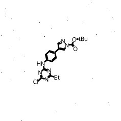 CCc1nc(Cl)nc(Nc2ccc(-c3cnn(C(=O)OC(C)(C)C)c3)cc2)n1